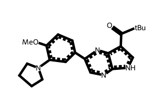 COc1ccc(-c2cnc3[nH]cc(C(=O)C(C)(C)C)c3n2)cc1N1CCCC1